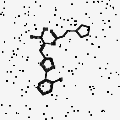 O=C(CCC1CCCC1)NC(=Cc1cnc(-c2ccccc2Cl)s1)C(=O)O